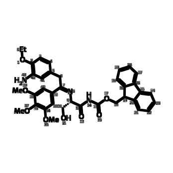 CCOc1ccc(C/C(=N/[C@@H](CO)C(=O)NC(=O)OCC2c3ccccc3-c3ccccc32)c2cc(OC)c(OC)c(OC)c2)cc1N